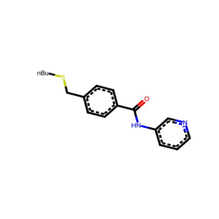 CCCCSCc1ccc(C(=O)Nc2cccnc2)cc1